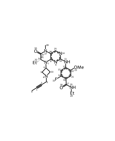 CC#CCN1CC(N2c3nc(Nc4cc(F)c(C(=O)NCC)cc4OC)ncc3N(C)C(=O)[C@H]2CC)C1